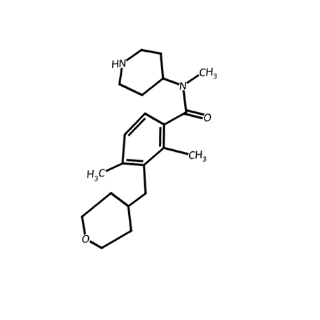 Cc1ccc(C(=O)N(C)C2CCNCC2)c(C)c1CC1CCOCC1